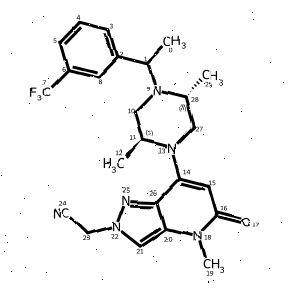 CC(c1cccc(C(F)(F)F)c1)N1C[C@H](C)N(c2cc(=O)n(C)c3cn(CC#N)nc23)C[C@H]1C